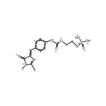 CC1=N/C(=C\c2ccc(OC(=O)OCCSP(=O)(O)O)cc2)C(=O)N1C